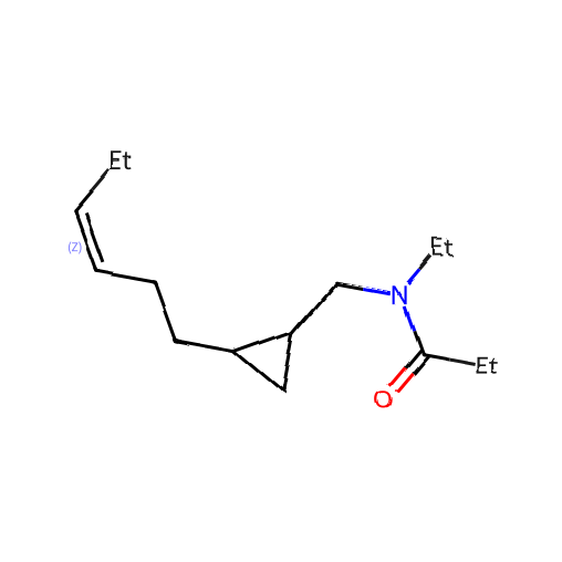 CC/C=C\CCC1CC1CN(CC)C(=O)CC